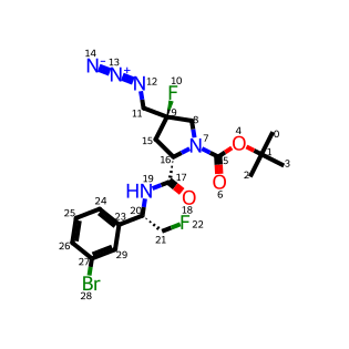 CC(C)(C)OC(=O)N1C[C@@](F)(CN=[N+]=[N-])C[C@H]1C(=O)N[C@H](CF)c1cccc(Br)c1